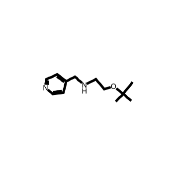 CC(C)(C)OCCNCc1ccncc1